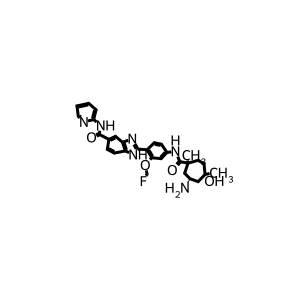 CC1(O)CCC(C)(C(=O)Nc2ccc(-c3nc4cc(C(=O)Nc5ccccn5)ccc4[nH]3)c(OCF)c2)C[C@@H](N)C1